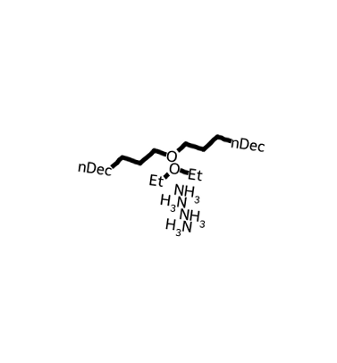 CCCCCCCCCCCCCOCCCCCCCCCCCCC.CCOCC.N.N.N.N